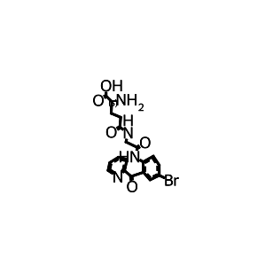 N[C@@H](CCC(=O)NCC(=O)Nc1ccc(Br)cc1C(=O)c1ccccn1)C(=O)O